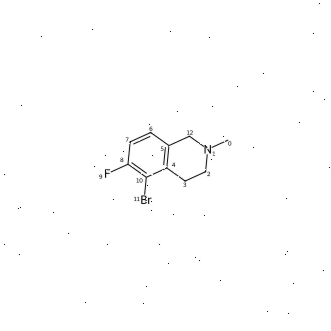 CN1CCc2c(ccc(F)c2Br)C1